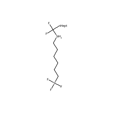 CCCCCCCC(F)(F)[SiH2]CCCCCC[Si](F)(F)F